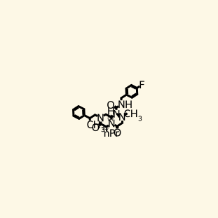 CCC[C@H]1C(=O)N(CC(C)c2ccccc2)C[C@H]2N1C(=O)CN(C)N2C(=O)NCc1ccc(F)cc1